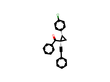 O=C(c1ccccc1)[C@]1(C#Cc2ccccc2)C[C@H]1c1ccc(Cl)cc1